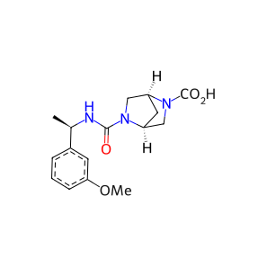 COc1cccc([C@@H](C)NC(=O)N2C[C@@H]3C[C@H]2CN3C(=O)O)c1